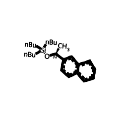 CCCC[Si](CCCC)(CCCC)O[C@@H](C)c1ccc2ccccc2c1